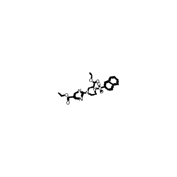 CCOC(=O)c1cnc(N2CCN(S(=O)(=O)c3ccc4ccccc4c3)C(C(=O)OCC)C2)nc1